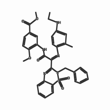 CCNc1ccc(/N=C(\C(=O)Nc2cc(C(=O)OC)ccc2OC)C2=Nc3ccccc3S(=O)(=O)N2Cc2ccccc2)c(C)c1